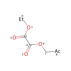 CCOC(=O)C(=O)OCC(C)=O